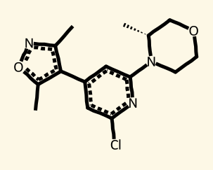 Cc1noc(C)c1-c1cc(Cl)nc(N2CCOC[C@H]2C)c1